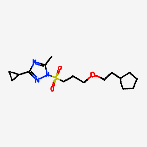 Cc1nc(C2CC2)nn1S(=O)(=O)CCCOCCC1CCCC1